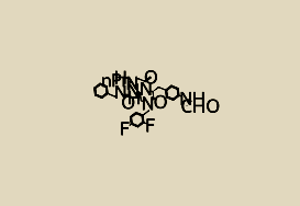 CCCN1CC(=O)N2[C@@H](Cc3ccc(NC=O)cc3)C(=O)N(Cc3ccc(F)cc3F)C[C@@H]2N1C(=O)NCc1ccccc1